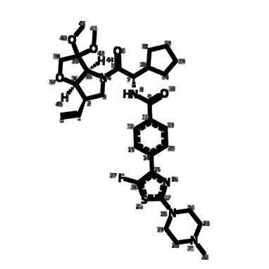 C=C[C@@H]1CN(C(=O)[C@@H](NC(=O)c2ccc(-c3nc(N4CCN(C)CC4)sc3F)cc2)C2CCCC2)[C@H]2[C@@H]1OCC2(OC)OC